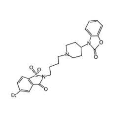 CCc1ccc2c(c1)C(=O)N(CCCCN1CCC(n3c(=O)oc4ccccc43)CC1)S2(=O)=O